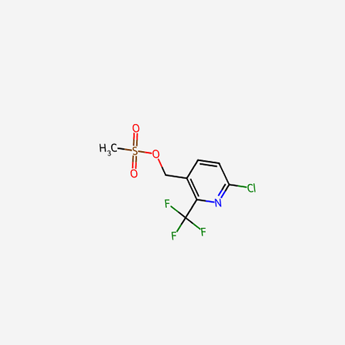 CS(=O)(=O)OCc1ccc(Cl)nc1C(F)(F)F